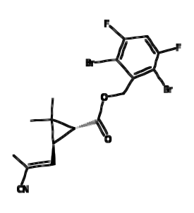 CC(C#N)=C[C@@H]1[C@@H](C(=O)OCc2c(Br)c(F)cc(F)c2Br)C1(C)C